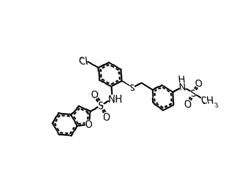 CS(=O)(=O)Nc1cccc(CSc2ccc(Cl)cc2NS(=O)(=O)c2cc3ccccc3o2)c1